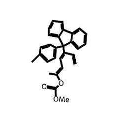 C=C/C(=C\C=C(/C)OC(=O)OC)C1(c2ccc(C)cc2)c2ccccc2-c2ccccc21